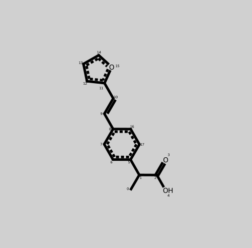 CC(C(=O)O)c1ccc(C=Cc2ccco2)cc1